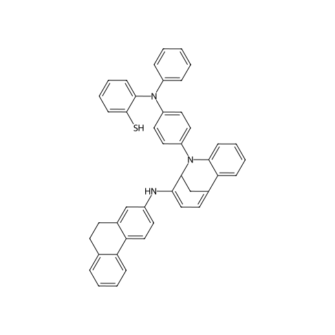 Sc1ccccc1N(c1ccccc1)c1ccc(N2c3ccccc3C3=CC=C(Nc4ccc5c(c4)CCc4ccccc4-5)C2C3)cc1